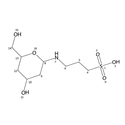 O=S(=O)(O)CCCNC1CC(O)CC(CO)O1